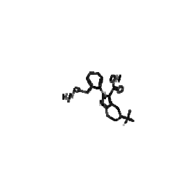 CC(C)(C)C1CCc2nn(-c3ccccc3CON)c(C(=O)O)c2C1